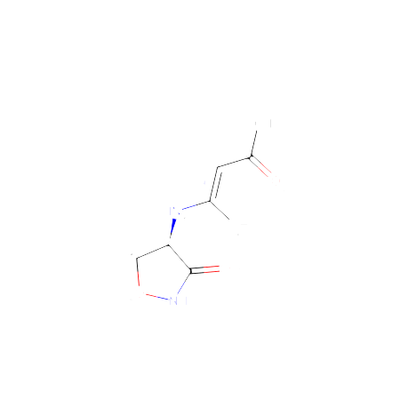 CC(=O)/C=C(\C)N[C@@H]1CONC1=O